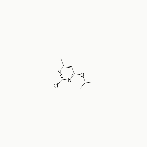 Cc1cc(OC(C)C)nc(Cl)n1